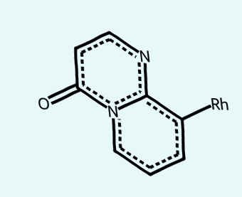 O=c1ccnc2[c]([Rh])cccn12